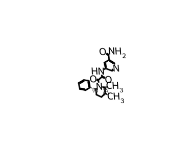 C[C@@H]1[C@@H](C)CC[C@H](c2ccccc2)N1C(=O)C(=O)Nc1cncc(C(N)=O)c1